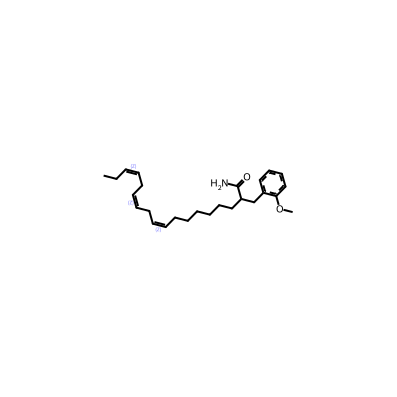 CC/C=C\C/C=C\C/C=C\CCCCCCC(Cc1ccccc1OC)C(N)=O